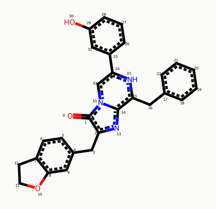 O=c1c(Cc2ccc3c(c2)OCC3)nc2c(Cc3ccccc3)[nH]c(-c3cccc(O)c3)cn1-2